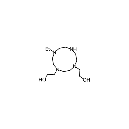 CCN1CCNCCN(CCO)CCN(CCO)CC1